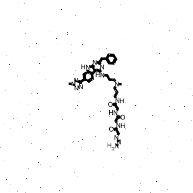 CN(CCCNC(=O)CNC(=O)CNC(=O)CN=NN)CCCNc1nc(Cc2ccccc2)nc2[nH]c3cc(-c4nnn(C)n4)ccc3c12